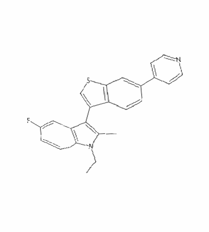 CCn1c(C)c(-c2csc3cc(-c4ccncc4)ccc23)c2cc(F)ccc21